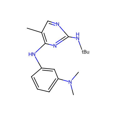 Cc1cnc(NC(C)(C)C)nc1Nc1cccc(N(C)C)c1